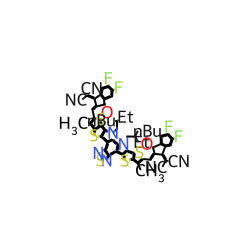 CCCCC(CC)Cn1c2c3sc(/C=C4\C(=O)c5cc(F)c(F)cc5C4=C(C#N)C#N)c(C)c3sc2c2c3nsnc3c3c4sc5c(C)c(/C=C6\C(=O)c7cc(F)c(F)cc7C6=C(C#N)C#N)sc5c4n(CC(CC)CCCC)c3c21